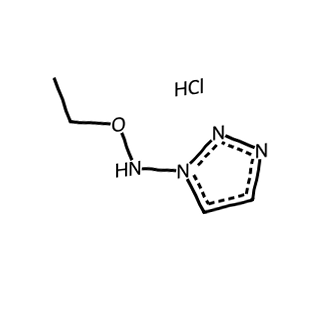 CCONn1ccnn1.Cl